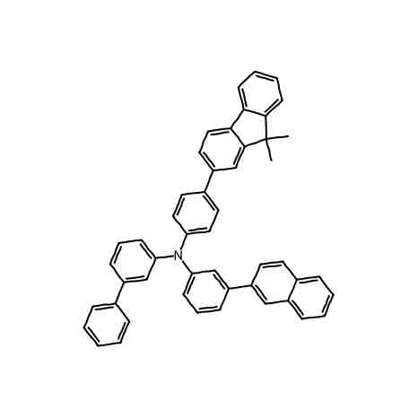 CC1(C)c2ccccc2-c2ccc(-c3ccc(N(c4cccc(-c5ccccc5)c4)c4cccc(-c5ccc6ccccc6c5)c4)cc3)cc21